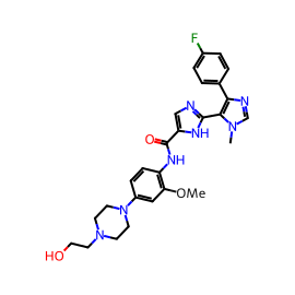 COc1cc(N2CCN(CCO)CC2)ccc1NC(=O)c1cnc(-c2c(-c3ccc(F)cc3)ncn2C)[nH]1